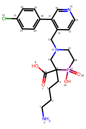 NCCCCC1(C(=O)O)CN(Cc2ccncc2-c2ccc(Cl)cc2)CCP1(=O)O